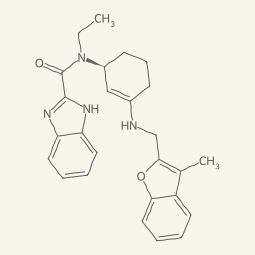 CCN(C(=O)c1nc2ccccc2[nH]1)[C@@H]1C=C(NCc2oc3ccccc3c2C)CCC1